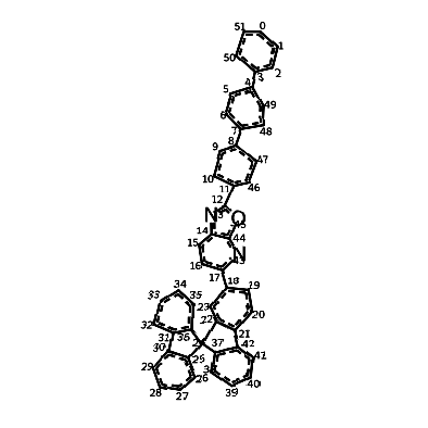 c1ccc(-c2ccc(-c3ccc(-c4nc5ccc(-c6ccc7c(c6)C6(c8ccccc8-c8ccccc86)c6ccccc6-7)nc5o4)cc3)cc2)cc1